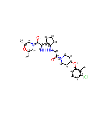 Cc1c(Cl)cccc1OC1CCN(C(=O)CNC2=C(C(=N)C(=O)N3C[C@@H](C)O[C@@H](C)C3)CCC2)CC1